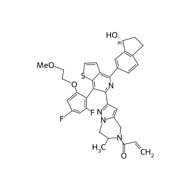 C=CC(=O)N1Cc2cc(-c3nc(-c4ccc5c(c4)[C@H](O)CC5)c4ccsc4c3-c3c(F)cc(F)cc3OCCOC)nn2CC1C